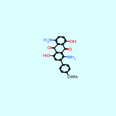 COc1ccc(-c2cc(O)c3c(c2N)C(=O)c2c(O)ccc(N)c2C3=O)cc1